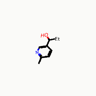 [CH2]CC(O)c1ccc(C)nc1